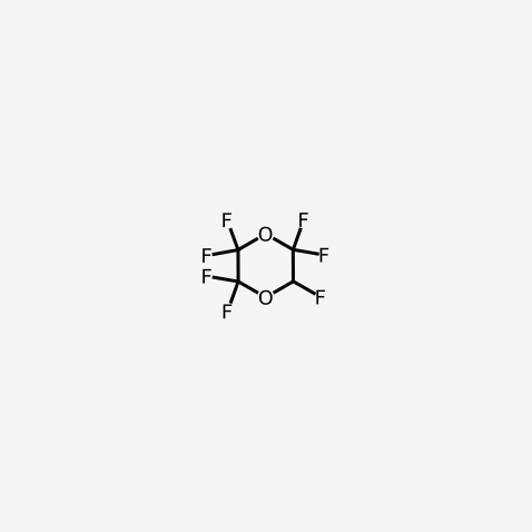 FC1OC(F)(F)C(F)(F)OC1(F)F